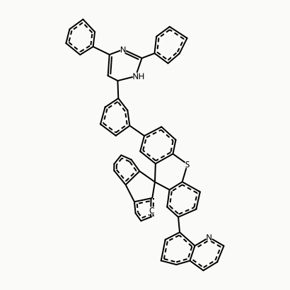 C1=C(c2ccccc2)N=C(c2ccccc2)NC1c1cccc(-c2ccc3c(c2)C2(c4cc(-c5cccc6cccnc56)ccc4S3)c3ccccc3-c3ccccc32)c1